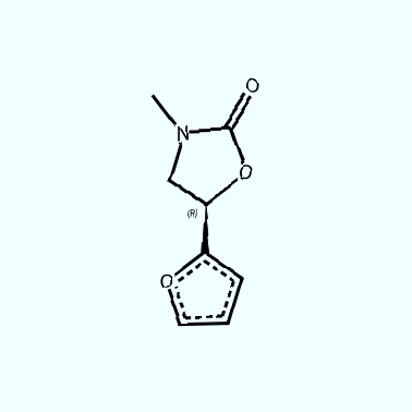 CN1C[C@H](c2ccco2)OC1=O